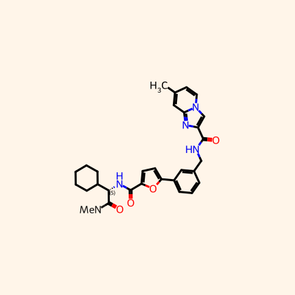 CNC(=O)[C@@H](NC(=O)c1ccc(-c2cccc(CNC(=O)c3cn4ccc(C)cc4n3)c2)o1)C1CCCCC1